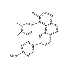 COc1ccc(-c2ccc3ncc4ccc(=O)n(-c5ccc(C)c(C)c5)c4c3c2)cn1